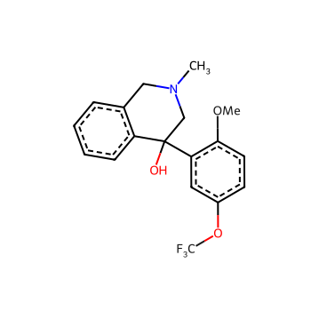 COc1ccc(OC(F)(F)F)cc1C1(O)CN(C)Cc2ccccc21